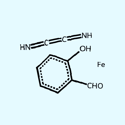 N=C=C=N.O=Cc1ccccc1O.[Fe]